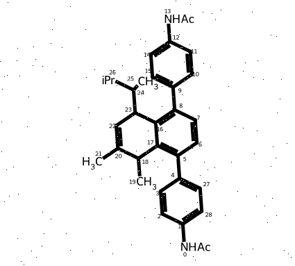 CC(=O)Nc1ccc(-c2ccc(-c3ccc(NC(C)=O)cc3)c3c2C(C)C(C)=CC3C(C)C(C)C)cc1